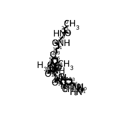 CCCC(=O)NCCNC(=O)CCCOc1cc(C)c(S(=O)(=O)N[C@@H](CNC(=O)c2cn(C)c3cc(CNc4ncc[nH]4)ccc3c2=O)C(=O)O)c(C)c1